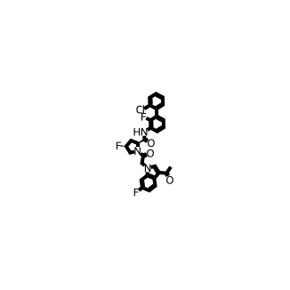 CC(=O)c1cn(CC(=O)N2C[C@H](F)C[C@H]2C(=O)Nc2cccc(-c3ccccc3Cl)c2F)c2cc(F)ccc12